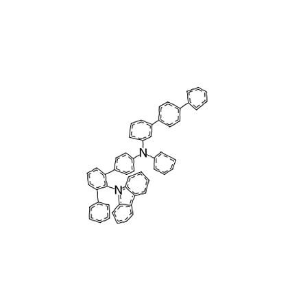 c1ccc(-c2ccc(-c3cccc(N(c4ccccc4)c4ccc(-c5cccc(-c6ccccc6)c5-n5c6ccccc6c6ccccc65)cc4)c3)cc2)cc1